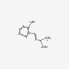 CC(=O)OC(C=Cc1ccccc1C(C)C)OC(C)=O